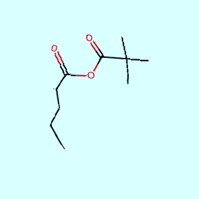 CCC[CH]C(=O)OC(=O)C(C)(C)C